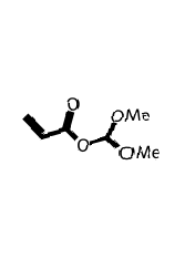 C=CC(=O)OC(OC)OC